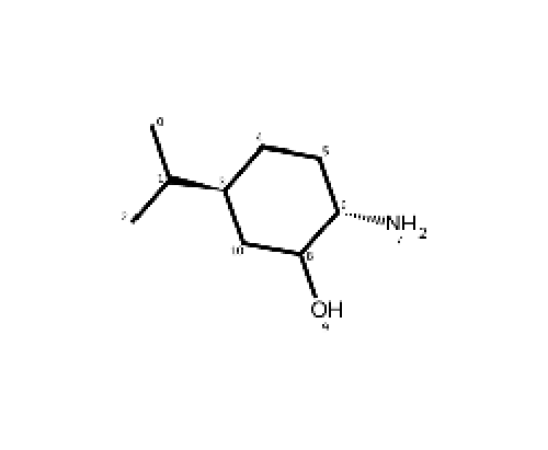 CC(C)[C@H]1CC[C@H](N)C(O)C1